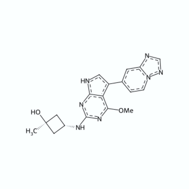 COc1nc(N[C@H]2C[C@](C)(O)C2)nc2[nH]cc(-c3ccn4ncnc4c3)c12